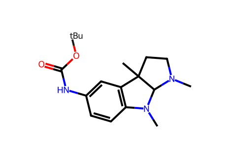 CN1CCC2(C)c3cc(NC(=O)OC(C)(C)C)ccc3N(C)C12